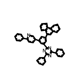 c1ccc(-c2ccc(-c3cc(-c4nc(-c5ccccc5)nc(-c5ccccc5)n4)cc(-c4cc5ccccc5c5ccccc45)c3)cn2)cc1